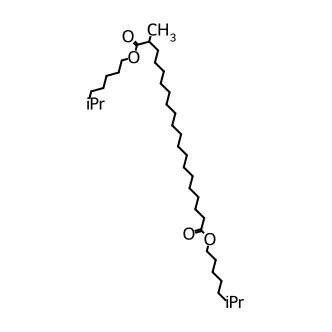 CC(C)CCCCCOC(=O)CCCCCCCCCCCCCCCCCC(C)C(=O)OCCCCCC(C)C